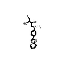 CN(CC(O)C(O)CF)c1ccc(-c2cn3ccccc3n2)cc1